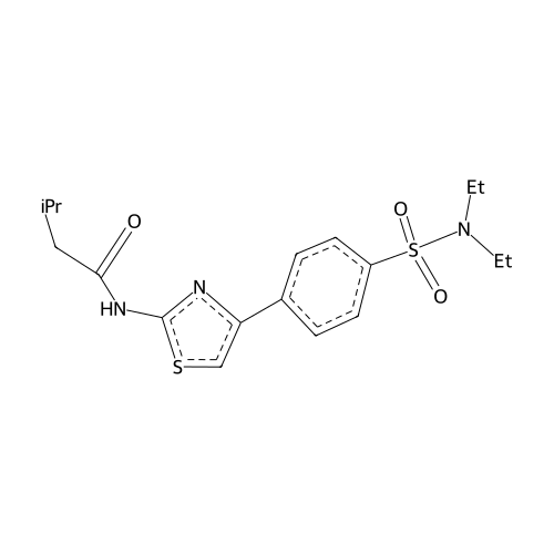 CCN(CC)S(=O)(=O)c1ccc(-c2csc(NC(=O)CC(C)C)n2)cc1